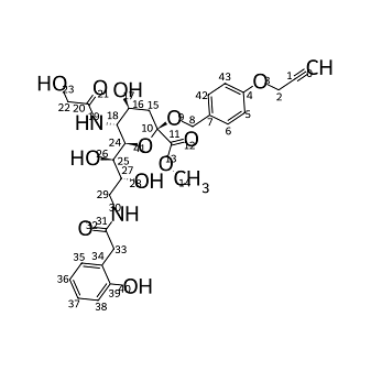 C#CCOc1ccc(CO[C@]2(C(=O)OC)C[C@H](O)[C@@H](NC(=O)CO)[C@H]([C@H](O)[C@H](O)CNC(=O)Cc3ccccc3O)O2)cc1